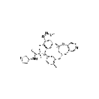 CC[C@@H]1CN(Cc2cc([C@@H](c3ccc4c(nnn4C)c3C)C(C)(C)C(=O)NC3CCOC3)ccc2C)Cc2cnccc2O1